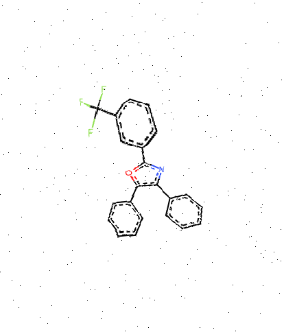 FC(F)(F)c1cccc(-c2nc(-c3ccccc3)c(-c3ccccc3)o2)c1